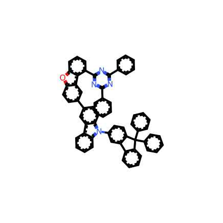 c1ccc(-c2nc(-c3ccccc3)nc(-c3cccc4oc5ccc(-c6ccc7c(c6)c6ccccc6n7-c6ccc7c(c6)-c6ccccc6C7(c6ccccc6)c6ccccc6)cc5c34)n2)cc1